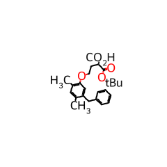 Cc1cc(C)c(OCCC(C(=O)O)C(=O)OC(C)(C)C)cc1Cc1ccccc1